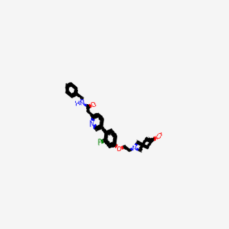 O=C1CC2(C1)CN(CCOc1ccc(-c3ccc(CC(=O)NCc4ccccc4)nc3)c(F)c1)C2